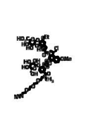 CCOc1cc2cc(C(=O)N3C[C@@H](CCl)c4c3cc(OS(=O)(=O)Oc3cc(C(=O)N(C)CCOCCOCCOCCN=[N+]=[N-])ccc3O[C@@H]3O[C@H](CO)[C@@H](O)[C@H](O)[C@H]3O)c3ccc(OC)cc43)[nH]c2cc1OC1O[C@H](C(=O)O)[C@@H](O)[C@H](O)[C@H]1O